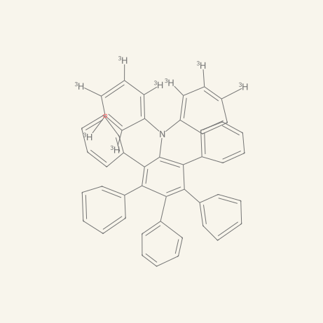 [3H]c1ccc(N(c2c([3H])c([3H])c([3H])c([3H])c2[3H])c2c(-c3ccccc3)c(-c3ccccc3)c(-c3ccccc3)c(-c3ccccc3)c2-c2ccccc2)c([3H])c1[3H]